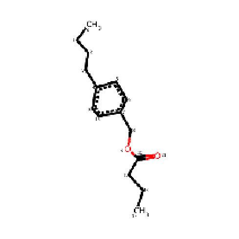 CCCCc1ccc(COC(=O)CCC)cc1